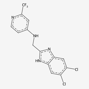 FC(F)(F)c1cc(NCc2nc3cc(Cl)c(Cl)cc3[nH]2)ccn1